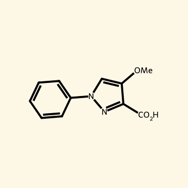 COc1cn(-c2ccccc2)nc1C(=O)O